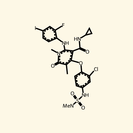 CNS(=O)(=O)Nc1ccc(Oc2c(C(=O)NC3CC3)c(Nc3ccc(I)cc3F)n(C)c(=O)c2C)c(Cl)c1